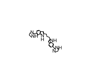 c1cc2cc(CCCc3cc4ccc(C5=NCCCN5)cc4[nH]3)[nH]c2cc1C1=NCCCN1